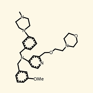 COc1cccc(CN(Cc2cccc(N3CCN(C)CC3)c2)c2ccnc(COCCN3CCOCC3)c2)c1